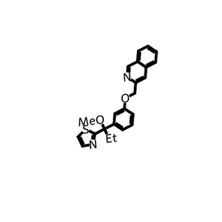 CCC(OC)(c1cccc(OCc2cc3ccccc3cn2)c1)c1nccs1